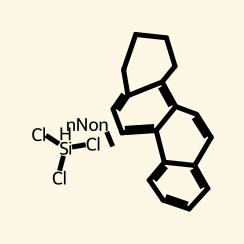 CCCCCCCCCC.Cl[SiH](Cl)Cl.c1ccc2c(c1)ccc1c3c(ccc12)CCCC3